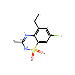 CCc1cc(F)cc2c1N=C(C)NS2(=O)=O